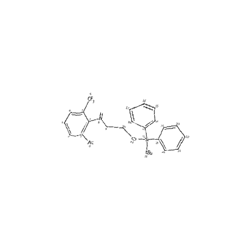 CC(=O)c1cccc(C(F)(F)F)c1NCCO[Si](c1ccccc1)(c1ccccc1)C(C)(C)C